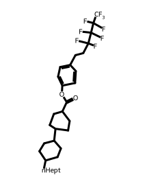 CCCCCCCC1CCC(C2CCC(C(=O)Oc3ccc(CCC(F)(F)C(F)(F)C(F)(F)C(F)(F)F)cc3)CC2)CC1